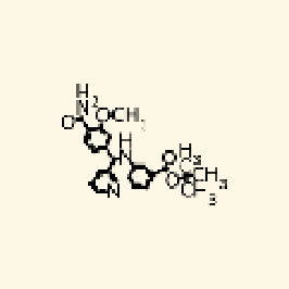 COc1cc(C(Nc2cccc(C(=O)OC(C)(C)C)c2)c2cccnc2)ccc1C(N)=O